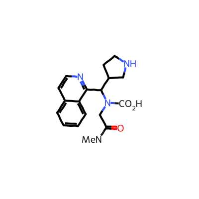 CNC(=O)CN(C(=O)O)C(c1nccc2ccccc12)C1CCNC1